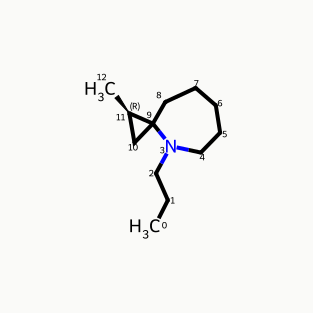 CCCN1CCCCCC12C[C@H]2C